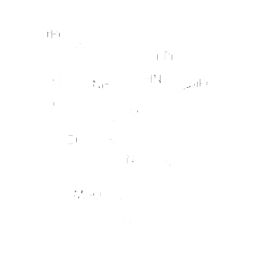 CCCN[C@H](C[C@@H](OC(=O)[C@@H](NC(=O)OC(C)(C)C)C(CC)CC)c1nc(C(=O)OC)cs1)C(C)C